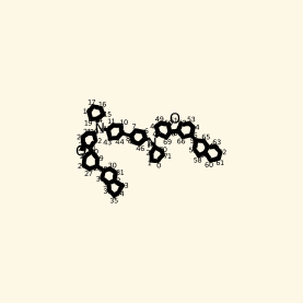 c1ccc(N(c2ccc(-c3ccc(N(c4ccccc4)c4ccc5oc6ccc(-c7ccc8ccccc8c7)cc6c5c4)cc3)cc2)c2ccc3oc4ccc(-c5ccc6ccccc6c5)cc4c3c2)cc1